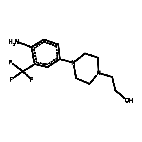 Nc1ccc(N2CCN(CCO)CC2)cc1C(F)(F)F